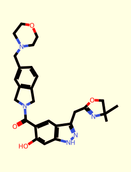 CC1(C)COC(Cc2n[nH]c3cc(O)c(C(=O)N4Cc5ccc(CN6CCOCC6)cc5C4)cc23)=N1